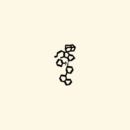 C=C/C=C\C1=C(C)c2c(N(c3ccccc3)c3cccc(-c4cccc5ccccc45)c3)cccc2C12C1CC3CC(C1)CC2C3